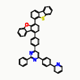 c1ccc(-c2nc(-c3ccc(-c4ccccn4)cc3)cc(-c3ccc(-c4ccc(-c5cccc6c5sc5ccccc56)c5oc6ccccc6c45)cc3)n2)cc1